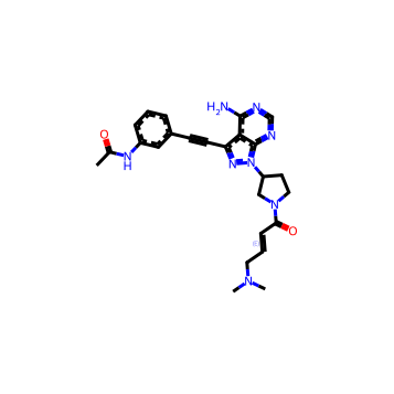 CC(=O)Nc1cccc(C#Cc2nn(C3CCN(C(=O)/C=C/CN(C)C)C3)c3ncnc(N)c23)c1